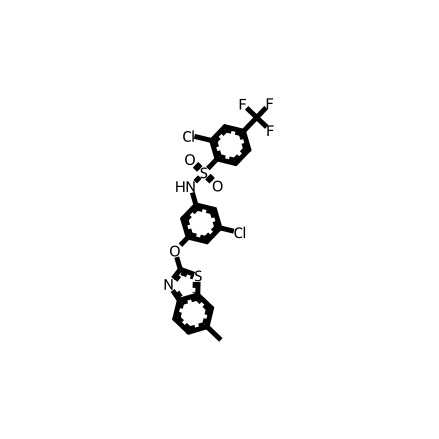 Cc1ccc2nc(Oc3cc(Cl)cc(NS(=O)(=O)c4ccc(C(F)(F)F)cc4Cl)c3)sc2c1